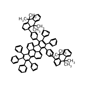 CC1(C)c2ccccc2C(C)(C)c2c(-c3ccc(-c4c(-c5ccccc5)c(-c5ccccc5)c(-c5ccc(-c6cccc7c6C(C)(C)c6ccccc6C7(C)C)cc5)c5c6cccc7c8c(-c9ccccc9)c(-c9ccccc9)c(-c9ccccc9)c(-c9ccccc9)c8c8cccc(c45)c8c76)cc3)cccc21